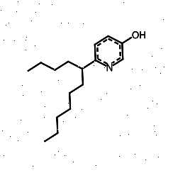 CCCCCCC(CCCC)c1ccc(O)cn1